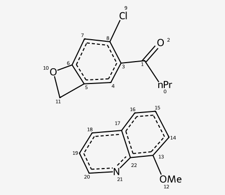 CCCC(=O)c1cc2c(cc1Cl)OC2.COc1cccc2cccnc12